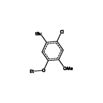 CCOc1cc(C(C)(C)C)c(Cl)cc1OC